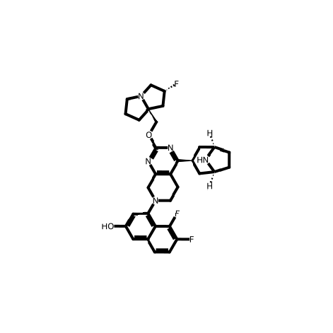 Oc1cc(N2CCc3c(nc(OC[C@@]45CCCN4C[C@H](F)C5)nc3[C@H]3C[C@H]4CC[C@@H](C3)N4)C2)c2c(F)c(F)ccc2c1